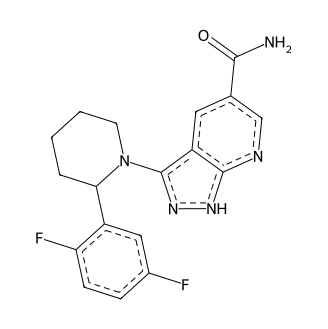 NC(=O)c1cnc2[nH]nc(N3CCCCC3c3cc(F)ccc3F)c2c1